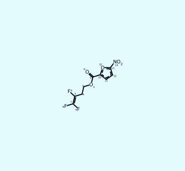 O=C(OCCC(F)=C(F)F)c1ccc([N+](=O)[O-])o1